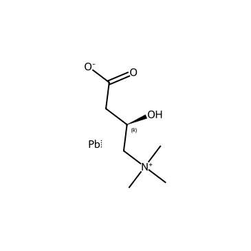 C[N+](C)(C)C[C@H](O)CC(=O)[O-].[Pb]